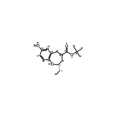 CC[C@H]1CN(C(=O)OC(C)(C)C)Cc2nc(O)ccc2O1